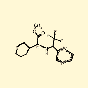 COC(=O)[C@@H](NC(c1cnccn1)C(F)(F)F)C1CCCCC1